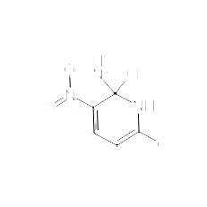 NC1(Cl)NC(Cl)=CC=C1[N+](=O)[O-]